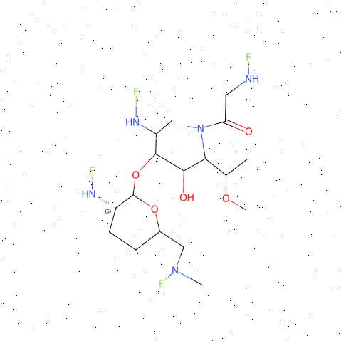 COC(C)C(C(O)C(OC1OC(CN(C)F)CC[C@@H]1NF)C(C)NF)N(C)C(=O)CNF